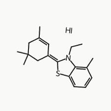 CCN1C(=C2C=C(C)CC(C)(C)C2)Sc2cccc(C)c21.I